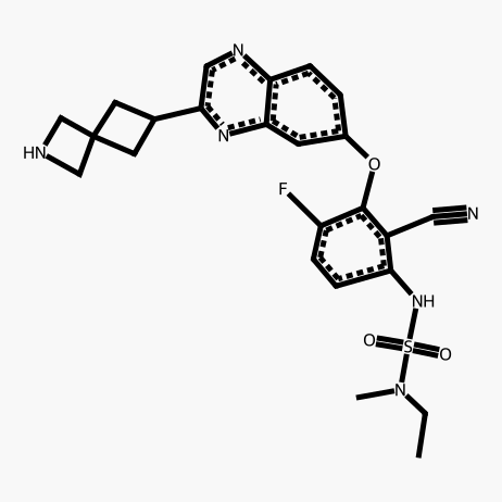 CCN(C)S(=O)(=O)Nc1ccc(F)c(Oc2ccc3ncc(C4CC5(CNC5)C4)nc3c2)c1C#N